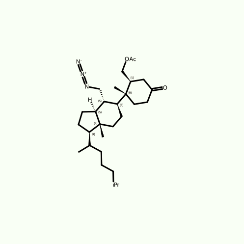 CC(=O)OC[C@H]1CC(=O)CC[C@]1(C)[C@H]1CC[C@]2(C)[C@@H](C(C)CCCC(C)C)CC[C@H]2[C@@H]1CN=[N+]=[N-]